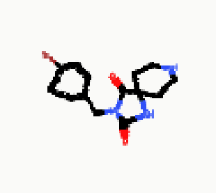 O=C1NC2(CCNCC2)C(=O)N1Cc1ccc(Br)cc1